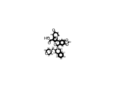 O=C1CCn2c(-c3cc4c(cc3C(=O)N3Cc5ccccc5C[C@H]3CN3CCOCC3)OCO4)cc(C(=O)O)c2C1